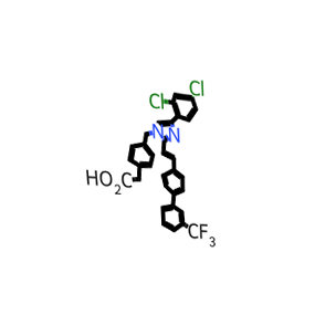 O=C(O)Cc1ccc(Cn2cc(-c3ccc(Cl)cc3Cl)nc2C=Cc2ccc(-c3cccc(C(F)(F)F)c3)cc2)cc1